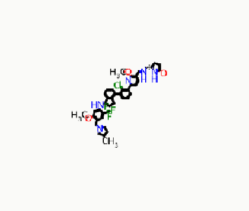 COc1cc(N[C@H]2CCc3c(-c4cccc(-c5ccc(CNC[C@@H]6CCC(=O)N6)c(OC)n5)c4Cl)cccc32)c(C(F)(F)F)cc1CN1CC[C@@H](C)C1